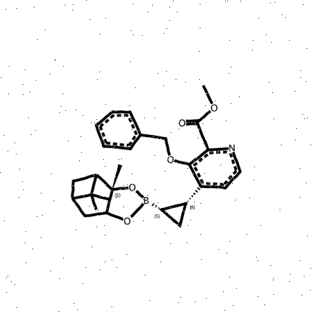 COC(=O)c1nccc([C@@H]2C[C@@H]2B2OC3CC4CC(C4(C)C)[C@]3(C)O2)c1OCc1ccccc1